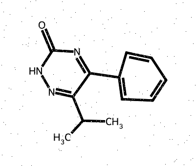 CC(C)c1n[nH]c(=O)nc1-c1ccccc1